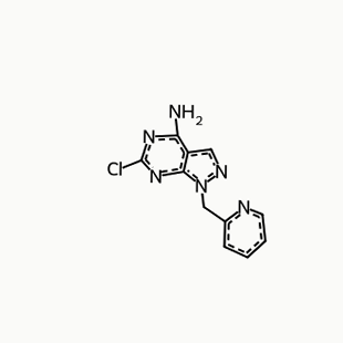 Nc1nc(Cl)nc2c1cnn2Cc1ccccn1